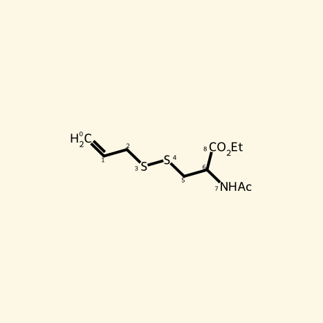 C=CCSSCC(NC(C)=O)C(=O)OCC